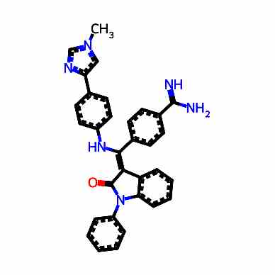 Cn1cnc(-c2ccc(N/C(=C3\C(=O)N(c4ccccc4)c4ccccc43)c3ccc(C(=N)N)cc3)cc2)c1